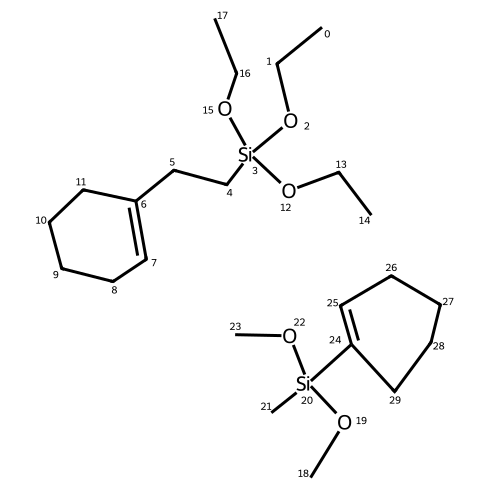 CCO[Si](CCC1=CCCCC1)(OCC)OCC.CO[Si](C)(OC)C1=CCCCC1